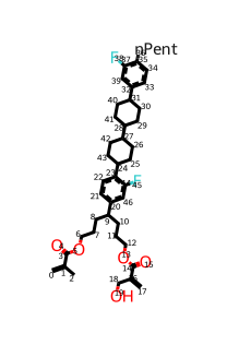 C=C(C)C(=O)OCCCC(CCCOC(=O)C(=C)CO)c1ccc(C2CCC(C3CCC(c4ccc(CCCCC)c(F)c4)CC3)CC2)c(F)c1